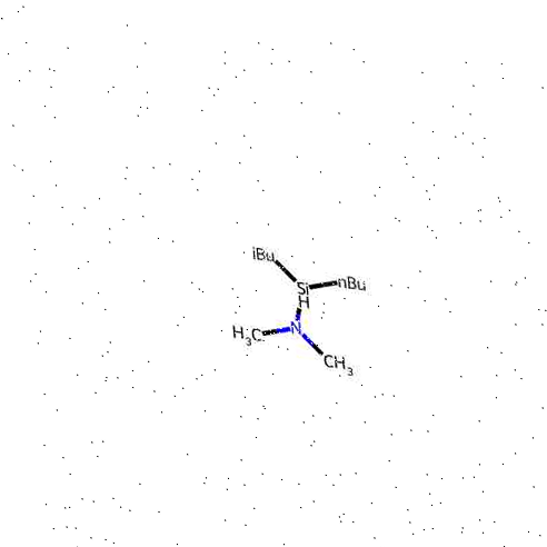 CCCC[SiH](C(C)CC)N(C)C